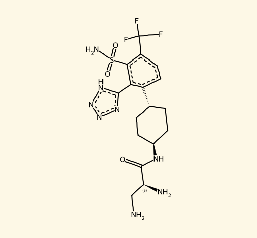 NC[C@H](N)C(=O)N[C@H]1CC[C@H](c2ccc(C(F)(F)F)c(S(N)(=O)=O)c2-c2nnn[nH]2)CC1